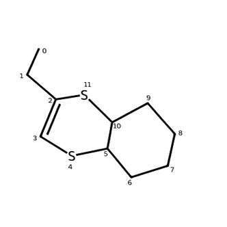 CCC1=CSC2CCCCC2S1